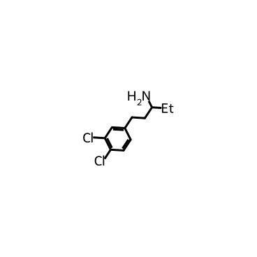 CCC(N)CCc1ccc(Cl)c(Cl)c1